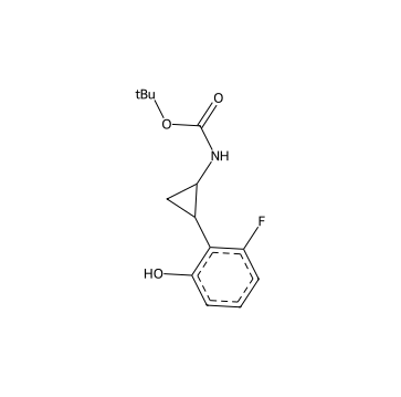 CC(C)(C)OC(=O)NC1CC1c1c(O)cccc1F